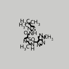 CC(NC(=O)c1ncnc2c1cnn2C)c1ncc(C(=O)Nc2nc(C(C)(C)C)cs2)s1